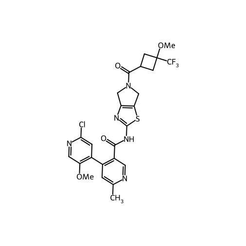 COc1cnc(Cl)cc1-c1cc(C)ncc1C(=O)Nc1nc2c(s1)CN(C(=O)C1CC(OC)(C(F)(F)F)C1)C2